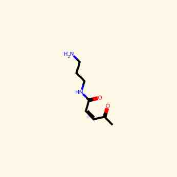 CC(=O)/C=C\C(=O)NCCCN